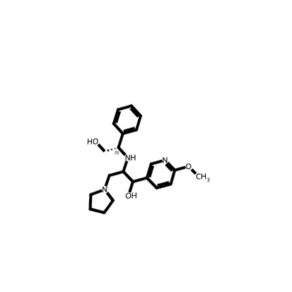 COc1ccc(C(O)C(CN2CCCC2)N[C@H](CO)c2ccccc2)cn1